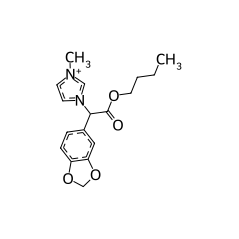 CCCCOC(=O)C(c1ccc2c(c1)OCO2)n1cc[n+](C)c1